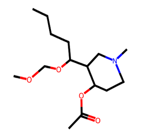 CCCCC(OCOC)C1CN(C)CCC1OC(C)=O